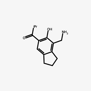 CC(C)C(=O)c1cc2c(c(CN)c1O)CCC2